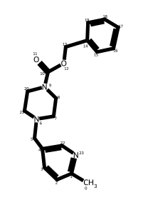 Cc1ccc(CN2CCN(C(=O)OCc3ccccc3)CC2)cn1